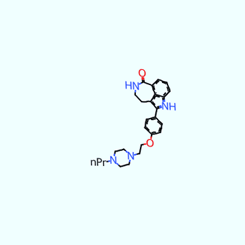 CCCN1CCN(CCOc2ccc(-c3[nH]c4cccc5c4c3CCNC5=O)cc2)CC1